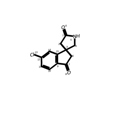 O=C1CC2(CN1)CC(=O)c1ccc(Cl)cc12